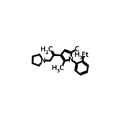 C=C(CN1CCCC1)c1cc(C)n(-c2ccccc2CC)c1C